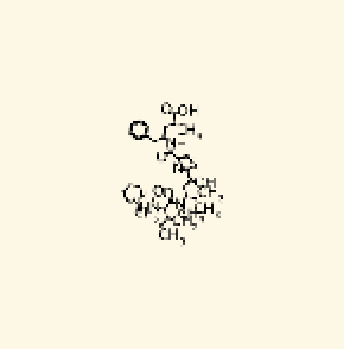 CCC(C)C(NC(=O)[C@H]1CCCCN1C)C(=O)N(C)C(CC(O)c1nc(C(=O)NC(Cc2ccccc2)CC(C)C(=O)O)cs1)C(C)C